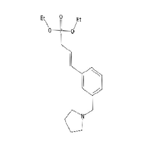 CCOP(=O)(C/C=C/c1cccc(CN2CCCC2)c1)OCC